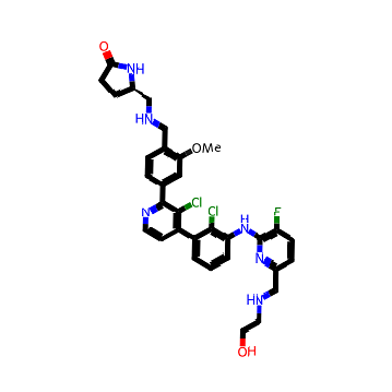 COc1cc(-c2nccc(-c3cccc(Nc4nc(CNCCO)ccc4F)c3Cl)c2Cl)ccc1CNC[C@H]1CCC(=O)N1